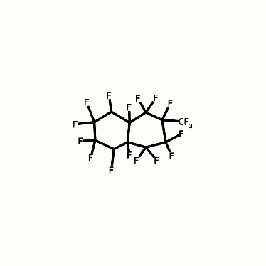 FC1C(F)(F)C(F)(F)C(F)C2(F)C(F)(F)C(F)(C(F)(F)F)C(F)(F)C(F)(F)C12F